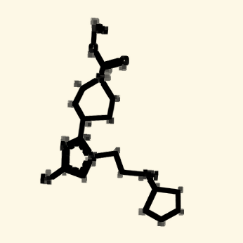 CCc1cn(CCNC2CCCC2)c(C2CCN(C(=O)OC(C)(C)C)CC2)n1